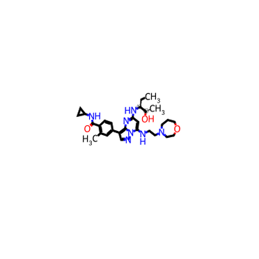 CC[C@H](Nc1cc(NCCN2CCCOCC2)n2ncc(-c3ccc(C(=O)NC4CC4)c(C)c3)c2n1)[C@H](C)O